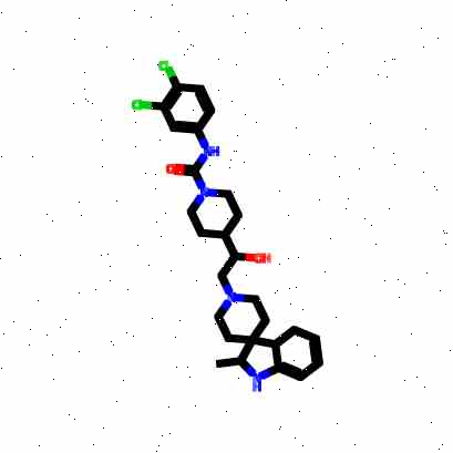 CC1NC2=CC=CCC2C12CCN(CC(O)C1CCN(C(=O)Nc3ccc(Cl)c(Cl)c3)CC1)CC2